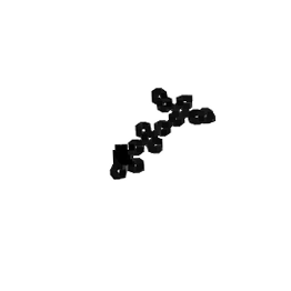 c1ccc(-c2nnc(-c3ccc(-c4c5ccccc5c(-c5ccc(-c6ccc7c(-c8ccc9ccccc9c8)c8ccccc8c(-c8ccc9ccccc9c8)c7c6)cc5)c5ccccc45)cc3)n2-c2ccccc2)cc1